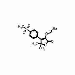 CC(C)(C)COC1=C(c2ccc(S(C)(=O)=O)cc2)C(C)(C)OC1=O